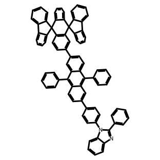 c1ccc(-c2c3ccc(-c4ccc5c(c4)C4(c6ccccc6-c6ccccc64)c4ccccc4C54c5ccccc5-c5ccccc54)cc3c(-c3ccccc3)c3ccc(-c4ccc(-n5c(-c6ccccc6)nc6ccccc65)cc4)cc23)cc1